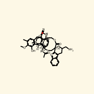 COc1c(C)cc2c(c1O)[C@H]1[C@@H]3[C@@H]4SC[C@]5(NC(CN)Cc6c5oc5ccccc65)C(=O)OC[C@@H](c5c6c(c(C)c(OC(C)=O)c54)OCO6)N3C(C#N)(C2)CN1C